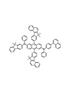 CC1(C)c2ccccc2-c2ccc(N(c3ccccc3)c3ccc4c(-c5ccc6c(c5)C(C)(C)c5ccc7ccccc7c5-6)c5cc(N(c6ccccc6)c6ccc(-c7cccc8ccccc78)cc6)ccc5c(-c5ccc6c(c5)C(C)(C)c5ccc7ccccc7c5-6)c4c3)cc21